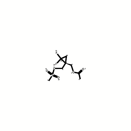 CC(=O)OC[C@]1(COS(C)(=O)=O)CC1(F)F